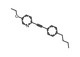 CCCCc1ccc(C#Cc2ccc(OCC)cn2)cc1